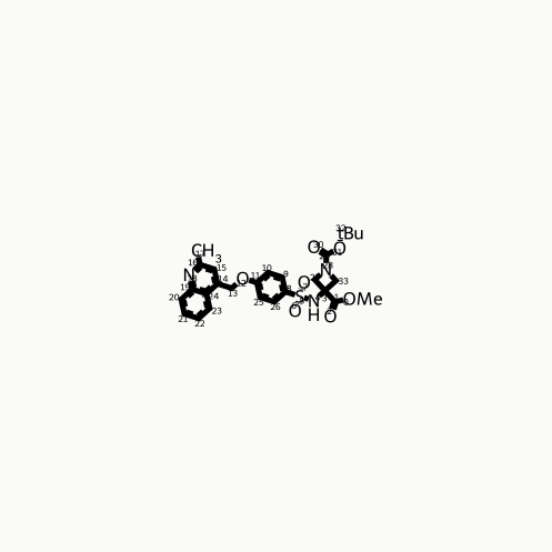 COC(=O)C1(NS(=O)(=O)c2ccc(OCc3cc(C)nc4ccccc34)cc2)CN(C(=O)OC(C)(C)C)C1